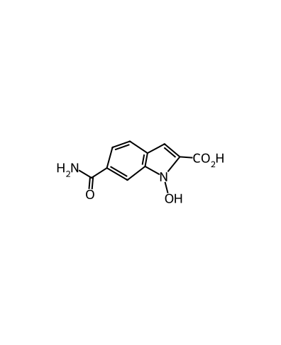 NC(=O)c1ccc2cc(C(=O)O)n(O)c2c1